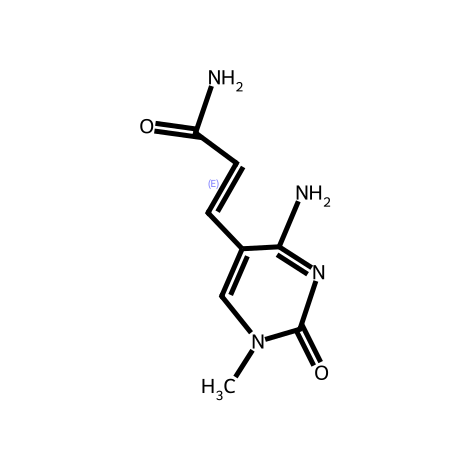 Cn1cc(/C=C/C(N)=O)c(N)nc1=O